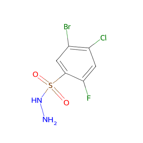 NNS(=O)(=O)c1cc(Br)c(Cl)cc1F